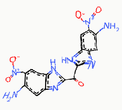 Nc1cc2nc(C(=O)c3nc4cc(N)c([N+](=O)[O-])cc4[nH]3)[nH]c2cc1[N+](=O)[O-]